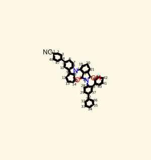 N#Cc1ccc(-c2ccc3c(c2)c2ccccc2n3-c2cccc3c2C(=O)N(c2ccc(-c4ccccc4)cc2-c2ccccc2)C3O)cc1